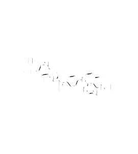 Nc1ncnc2c1c(=O)ccn2-c1ccc(NC(=O)Nc2cnc(O)c(C(F)(F)F)c2)cc1